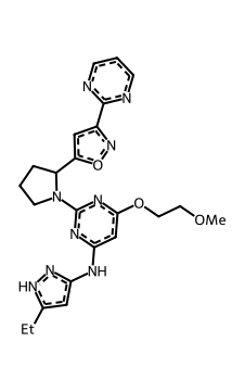 CCc1cc(Nc2cc(OCCOC)nc(N3CCCC3c3cc(-c4ncccn4)no3)n2)n[nH]1